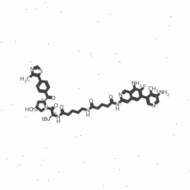 Cc1ncsc1-c1ccc(C(=O)[C@@H]2C[C@@H](O)CN2C(=O)[C@@H](NC(=O)CCCCNC(=O)CCCC(=O)Nc2cc3cc(-c4cncc(N)c4C)c(F)c(N)c3cn2)C(C)(C)C)cc1